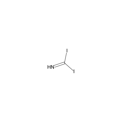 N=C(I)I